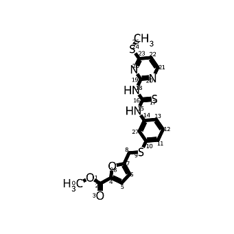 COC(=O)c1ccc(CSc2cccc(NC(=S)Nc3nccc(SC)n3)c2)o1